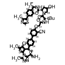 Cc1ncsc1-c1ccc([C@H](C)NC(=O)[C@@H]2C[C@@H](O)CN2C(=O)[C@@H](NC(=O)COc2ccc(-c3ccc(C4=NC(N)c5nnc(C)n5-c5sc(C)c(C)c54)cc3)cc2C#N)C(C)(C)C)cc1